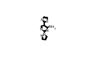 Nc1nc(-n2cccn2)ncc1-c1nccs1